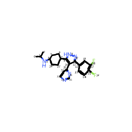 CC(C)NC1CCC(c2[nH]nc(-c3ccc(F)c(F)c3)c2-c2ccncn2)CC1